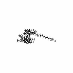 CCCCCCCCCCCCCC(=O)OC[C@H]1OC(OC[C@H]2OC(O[C@]3(CO)O[C@H](CO)[C@@H](O)[C@@H]3O)[C@H](O)[C@@H](O)[C@@H]2O)[C@H](O)[C@@H](O)[C@H]1O